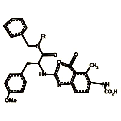 CCN(Cc1ccccc1)C(=O)[C@H](Cc1ccc(OC)cc1)Nc1nc2ccc(NC(=O)O)c(C)c2c(=O)o1